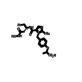 CCCCc1ncc(C(=O)N[C@H](CC(=O)NO)CC(C)C)n1Cc1ccc(OC(C)C(=O)O)cc1